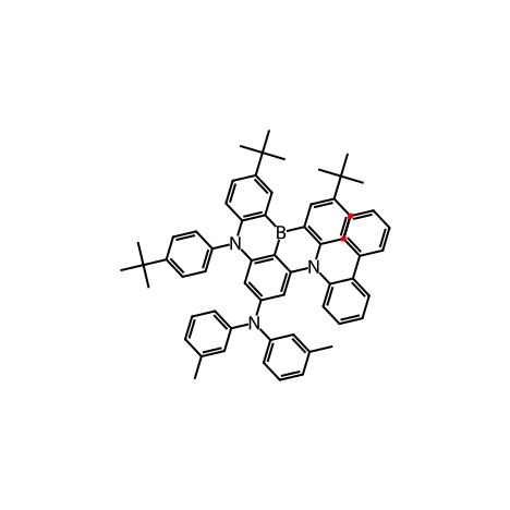 Cc1cccc(N(c2cccc(C)c2)c2cc3c4c(c2)N(c2ccccc2-c2ccccc2)c2ccc(C(C)(C)C)cc2B4c2cc(C(C)(C)C)ccc2N3c2ccc(C(C)(C)C)cc2)c1